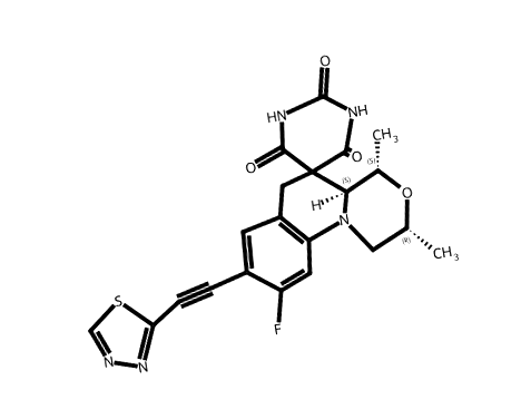 C[C@@H]1CN2c3cc(F)c(C#Cc4nncs4)cc3CC3(C(=O)NC(=O)NC3=O)[C@H]2[C@H](C)O1